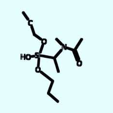 CCCO[Si](O)(OCCC)C(C)N(C)C(C)=O